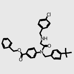 CC(C)(C)c1ccc(CN(C(=O)CNCc2ccc(Cl)cc2)c2ccc(C(=O)OCc3ccccc3)cc2)cc1